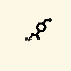 COC(=O)N1CCN(C=O)CC1